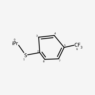 CC(C)Sc1ccc(C(F)(F)F)cc1